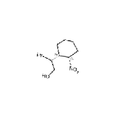 CC(C)C(CO)[C@@H]1CCCC[C@@H]1[N+](=O)[O-]